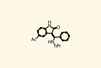 CCCNC(=C1C(=O)Nc2ccc(C(C)=O)cc21)c1ccccc1